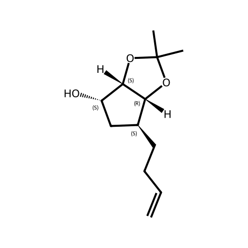 C=CCC[C@H]1C[C@H](O)[C@@H]2OC(C)(C)O[C@H]12